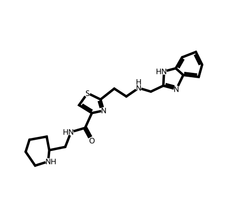 O=C(NCC1CCCCN1)c1csc(CCNCc2nc3ccccc3[nH]2)n1